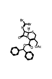 CC(=O)OCC1=C(C(=O)OC(c2ccccc2)c2ccccc2)N2C(=O)C(N=C(Br)Br)[C@H]2SC1